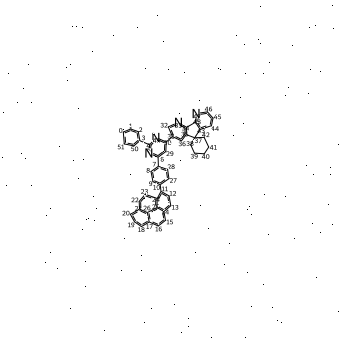 c1ccc(-c2nc(-c3ccc(-c4ccc5ccc6cccc7ccc4c5c67)cc3)cc(-c3cnc4c(c3)C3(CCCCC3)c3cccnc3-4)n2)cc1